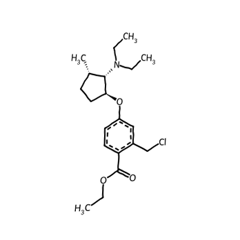 CCOC(=O)c1ccc(O[C@H]2CC[C@H](C)[C@@H]2N(CC)CC)cc1CCl